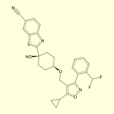 N#Cc1ccc2nc([C@]3(O)CC[C@@H](OCc4c(-c5ccccc5C(F)F)noc4C4CC4)CC3)sc2c1